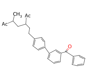 CC(=O)C(C)CC(CCc1ccc(-c2cccc(C(=O)c3ccccc3)c2)cc1)C(C)=O